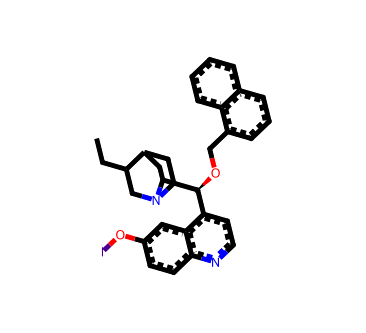 CCC1CN2CCC1CC2[C@@H](OCc1cccc2ccccc12)c1ccnc2ccc(OI)cc12